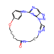 O=C1CCCCOc2ccc(cc2)Nc2ncc3nnn(c3n2)-c2cnn(c2)CCCN1